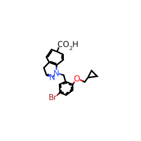 O=C(O)C1C=CC2=C(C=C1)N(Cc1cc(Br)ccc1OCC1CC1)N=CC2